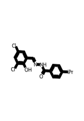 CC(C)c1ccc(C(=O)N/N=C/c2cc(Cl)cc(Cl)c2O)cc1